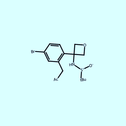 CC(=O)Cc1cc(Br)ccc1C1(N[S+]([O-])C(C)(C)C)COC1